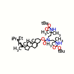 CC[C@H](CC[C@@H](C)C1CCC2C3CC=C4CC(OC(=O)N(CCC(C)(C)NC(=O)OC(C)(C)C)CCC(C)(C)NC(=O)OC(C)(C)C)CCC4(C)C3CCC21C)C(C)C